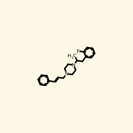 CC(Cc1ccccc1F)N1CCN(C/C=C/c2ccccc2)CC1